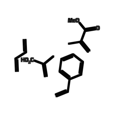 C=C(C)C(=O)O.C=C(C)C(=O)OC.C=CC=C.C=Cc1ccccc1